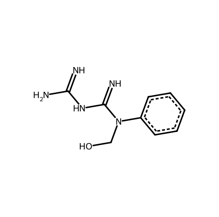 N=C(N)NC(=N)N(CO)c1ccccc1